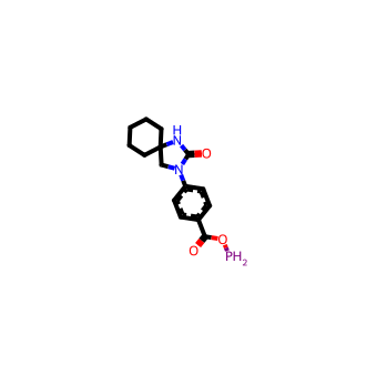 O=C(OP)c1ccc(N2CC3(CCCCC3)NC2=O)cc1